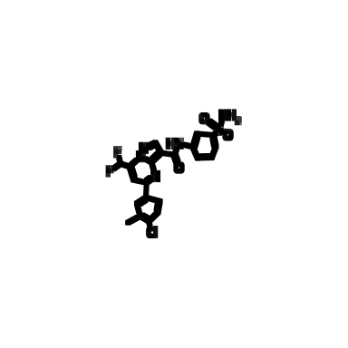 Cc1cc(-c2cc(C(F)F)n3ncc(C(=O)Nc4cccc(S(N)(=O)=O)c4)c3n2)ccc1Cl